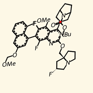 COCOc1cc(-c2c(F)c(OC)c3c(N4CC5CCC(C4)N5C(=O)OC(C)(C)C)nc(OC[C@@]45CCCN4C[C@H](F)C5)nc3c2F)c2c(F)cccc2c1